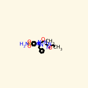 CCc1nc(CN(C)C(=O)c2nc(Cc3ccccc3)n(-c3ccc(S(N)(=O)=O)cc3)n2)no1